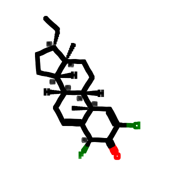 CC[C@H]1CC[C@H]2[C@@H]3CC=C4[C@H](F)C(=O)C(Cl)=C[C@]4(C)[C@H]3CC[C@]12C